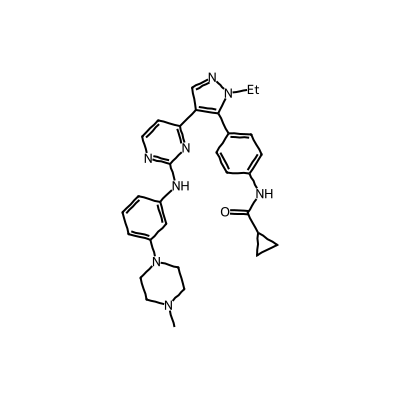 CCn1ncc(-c2ccnc(Nc3cccc(N4CCN(C)CC4)c3)n2)c1-c1ccc(NC(=O)C2CC2)cc1